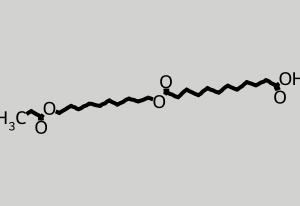 CCC(=O)OCCCCCCCCCCOC(=O)CCCCCCCCCCC(=O)O